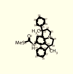 CSC(=O)Nc1cc2c3c(c1)[C@@](C)(c1ccccc1)CCN3CC[C@@]2(C)c1ccccc1